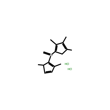 Cl.Cl.[CH2]=[Zr]([C]1=C(C)C(C)=C(C)C1)[C]1=C(C)C=CC1C